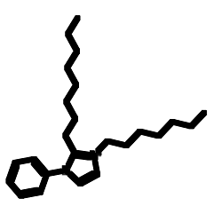 CCCCCCCCc1n(-c2ccccc2)cc[n+]1CCCCCCC